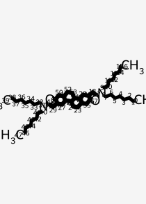 CCCCCCCCN(CCCCCCCC)c1cc2cc3c(ccc4c5cc6cc(N(CCCCCCCC)CCCCCCCC)oc6cc5ccc34)cc2o1